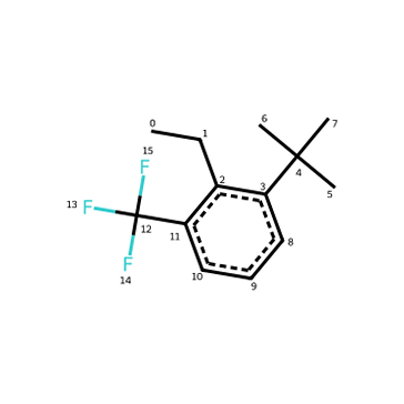 CCc1c(C(C)(C)C)cccc1C(F)(F)F